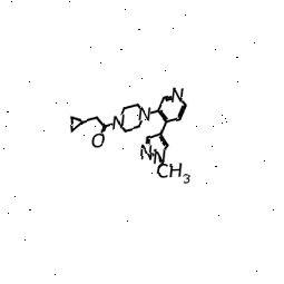 Cn1cc(-c2ccncc2N2CCN(C(=O)CC3CC3)CC2)cn1